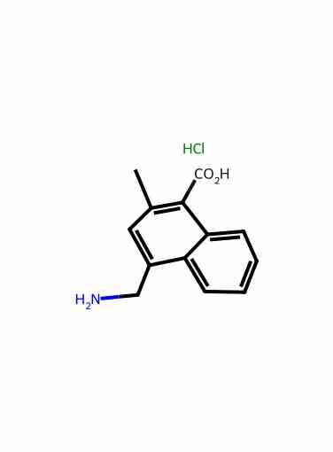 Cc1cc(CN)c2ccccc2c1C(=O)O.Cl